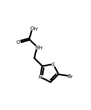 O=C(O)NCc1ncc(Br)s1